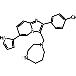 N#Cc1ccc(-c2nc3ccc(-c4ccc[nH]4)cn3c2CN2CCCNCC2)cc1